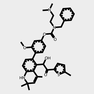 COc1cc(OC(=O)N(CCN(C)C)Cc2ccccc2)ccc1-c1ccc2c(c1C(O)C(=O)c1ccc(C)s1)C(C)=CC(C)(C)N2